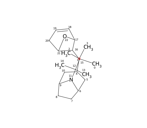 CC(C)(C)C1CC2CCC(C1)N2C(C)(C)CC1C2C=CCC1O2